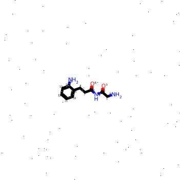 NCC(=O)NC(=O)CCc1ccccc1N